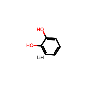 Oc1ccccc1O.[LiH]